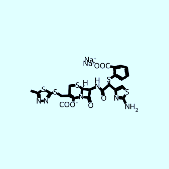 Cc1nnc(SCC2=C(C(=O)[O-])N3C(=O)C(NC(=O)C(Sc4ccccc4C(=O)[O-])c4csc(N)n4)[C@@H]3SC2)s1.[Na+].[Na+]